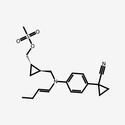 CC/C=C/N(C[C@H]1C[C@@H]1COS(C)(=O)=O)c1ccc(C2(C#N)CC2)cc1